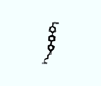 CCCCCCC1COC(c2ccc(-c3ccc(OCCC[C@@H](C)CC)cc3)cc2)OC1